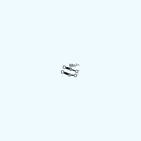 O=B[O-].O=B[O-].[Mn+2]